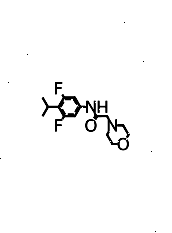 CC(C)c1c(F)cc(NC(=O)CN2CCOCC2)cc1F